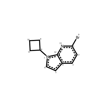 Brc1ccc2ccn(C3CCC3)c2n1